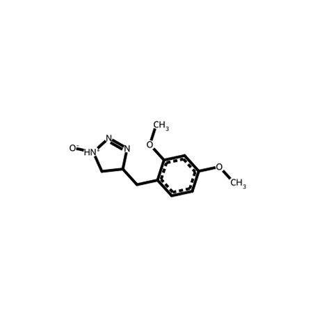 COc1ccc(CC2C[NH+]([O-])N=N2)c(OC)c1